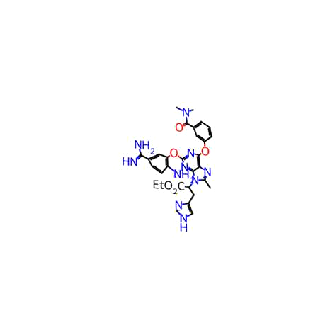 CCOC(=O)C(Cc1c[nH]cn1)n1c(C)nc2c(Oc3cccc(C(=O)N(C)C)c3)nc(Oc3cc(C(=N)N)ccc3N)nc21